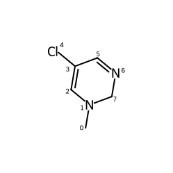 CN1C=C(Cl)C=NC1